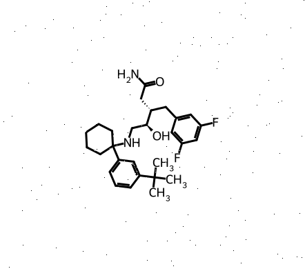 CC(C)(C)c1cccc(C2(NC[C@H](O)[C@H](CC(N)=O)Cc3cc(F)cc(F)c3)CCCCC2)c1